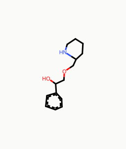 OC(COCC1CCCCN1)c1ccccc1